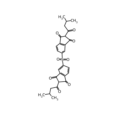 CC(C)CC(=O)C1C(=O)c2ccc(S(=O)(=O)c3ccc4c(c3)C(=O)C(C(=O)CC(C)C)C4=O)cc2C1=O